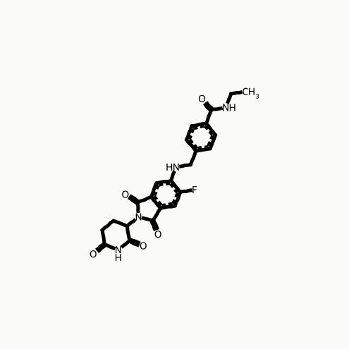 CCNC(=O)c1ccc(CNc2cc3c(cc2F)C(=O)N(C2CCC(=O)NC2=O)C3=O)cc1